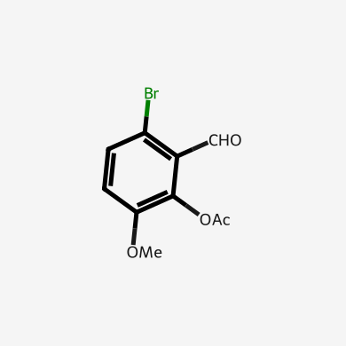 COc1ccc(Br)c(C=O)c1OC(C)=O